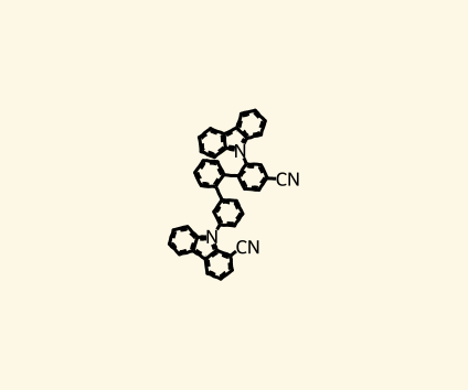 N#Cc1ccc(-c2ccccc2-c2cccc(-n3c4ccccc4c4cccc(C#N)c43)c2)c(-n2c3ccccc3c3ccccc32)c1